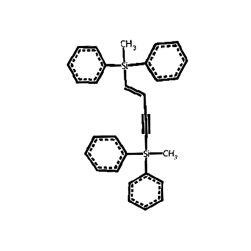 C[Si](C#C/C=C/[Si](C)(c1ccccc1)c1ccccc1)(c1ccccc1)c1ccccc1